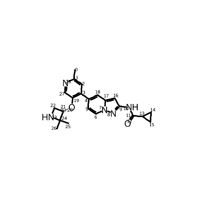 Cc1cc(-c2ccn3nc(NC(=O)C4CC4)cc3c2)c(O[C@H]2CNC2(C)C)cn1